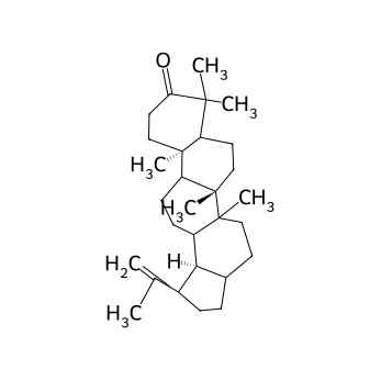 C=C(C)C1CCC2CCC3(C)C(CCC4[C@@]5(C)CCC(=O)C(C)(C)C5CC[C@@]43C)[C@@H]21